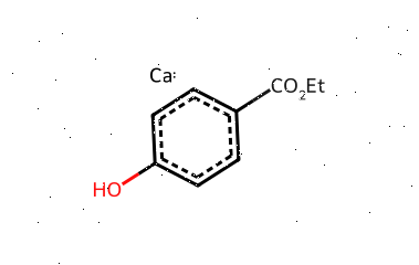 CCOC(=O)c1ccc(O)cc1.[Ca]